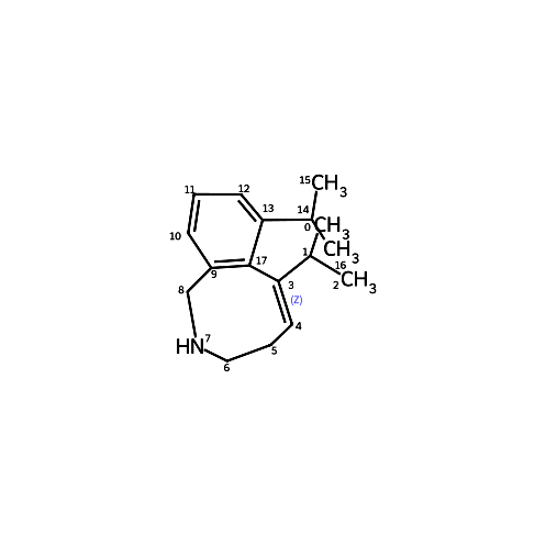 CC(C)/C1=C/CCNCc2cccc(C(C)C)c21